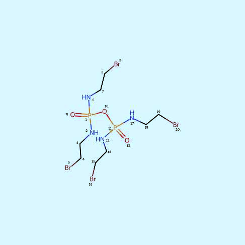 O=P(NCCBr)(NCCBr)OP(=O)(NCCBr)NCCBr